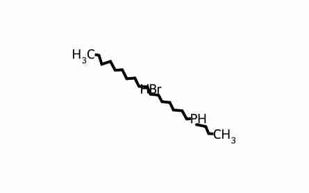 Br.CCCCCCCCCCCCCCCCCPCCCC